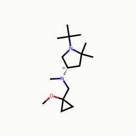 COC1(CN(C)[C@@H]2CN(C(C)(C)C)C(C)(C)C2)CC1